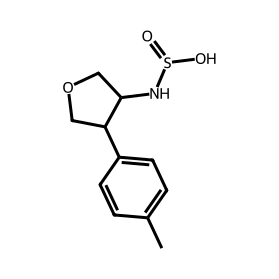 Cc1ccc(C2COCC2NS(=O)O)cc1